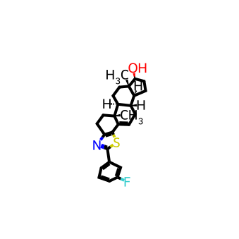 C[C@]12CC[C@H]3[C@@H](CC=C4c5sc(-c6cccc(F)c6)nc5CC[C@@]43C)[C@@H]1CC[C@@H]2O